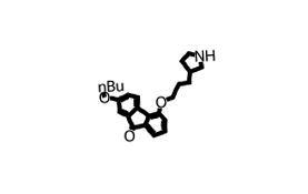 CCCCOc1ccc2c(c1)C(=O)c1cccc(OCCCC3CCNC3)c1-2